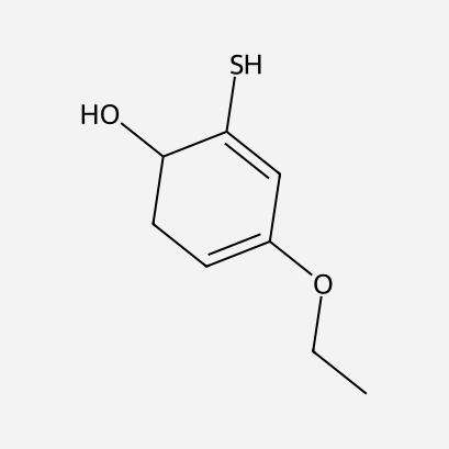 CCOC1=CCC(O)C(S)=C1